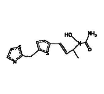 CC(C=Cc1ccc(Cc2nccs2)s1)N(O)C(N)=O